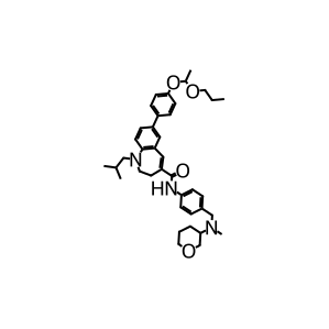 CCCOC(C)Oc1ccc(-c2ccc3c(c2)C=C(C(=O)Nc2ccc(CN(C)C4CCCOC4)cc2)CCN3CC(C)C)cc1